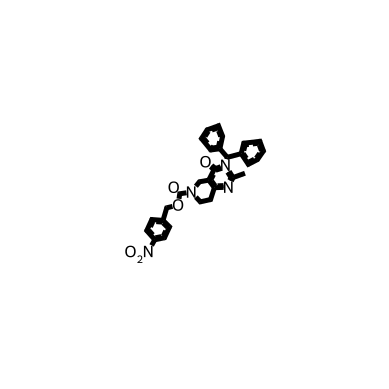 Cc1nc2c(c(=O)n1C(c1ccccc1)c1ccccc1)CN(C(=O)OCc1ccc([N+](=O)[O-])cc1)CC2